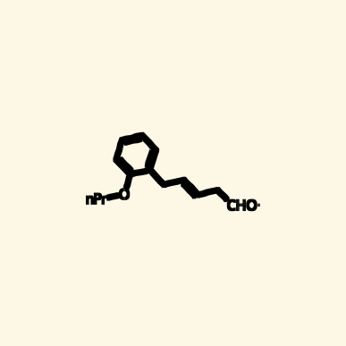 CCCOc1ccccc1CC=CC[C]=O